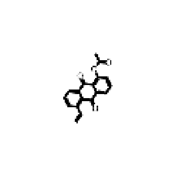 C=Cc1cccc2c1C(=O)c1cccc(OC(C)=O)c1C2=O